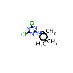 CC1(C)CC2CC(C)(CN2c2nc(Cl)nc(Cl)n2)C1